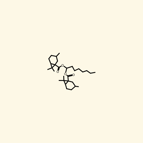 CCCCCCCC(OC(=O)C12CC(C)CCC1C2(C)C)OC(=O)C12CC(C)CCC1C2(C)C